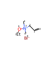 C=CC[N+](C)(C)OCC.[Br-]